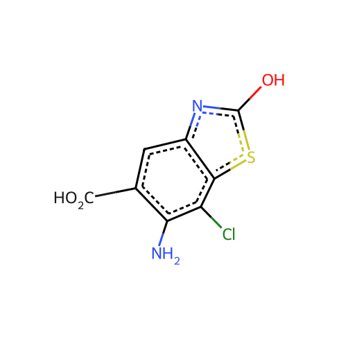 Nc1c(C(=O)O)cc2nc(O)sc2c1Cl